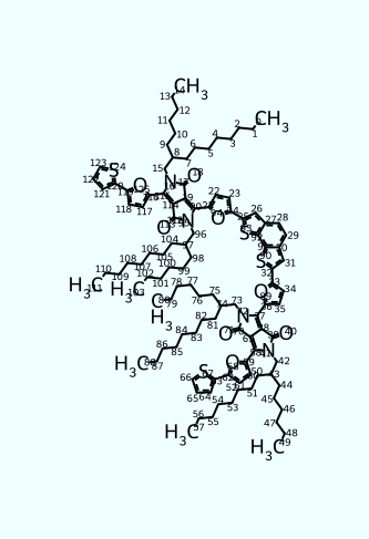 CCCCCCCCC(CCCCCC)CN1C(=O)C2=C(c3ccc(-c4cc5ccc6cc(-c7ccc(C8=C9C(=O)N(CC(CCCCCC)CCCCCCCC)C(c%10ccc(-c%11cccs%11)o%10)=C9C(=O)N8CC(CCCCCC)CCCCCCCC)o7)sc6c5s4)o3)N(CC(CCCCCC)CCCCCCCC)C(=O)C2=C1c1ccc(-c2cccs2)o1